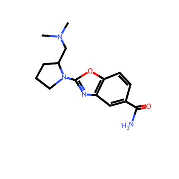 CN(C)CC1CCCN1c1nc2cc(C(N)=O)ccc2o1